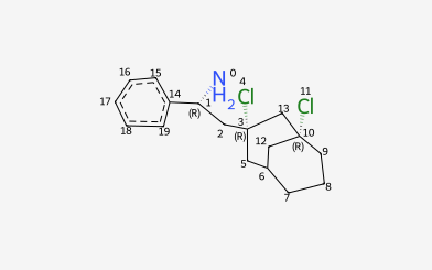 N[C@H](C[C@]1(Cl)CC2CCC[C@@](Cl)(C2)C1)c1ccccc1